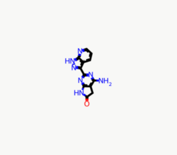 Nc1nc(-c2n[nH]c3ncccc23)nc2c1CC(=O)N2